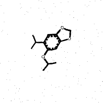 CC(C)Oc1cc2c(cc1C(C)C)OCO2